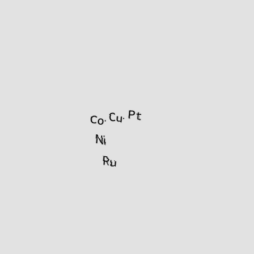 [Co].[Cu].[Ni].[Pt].[Ru]